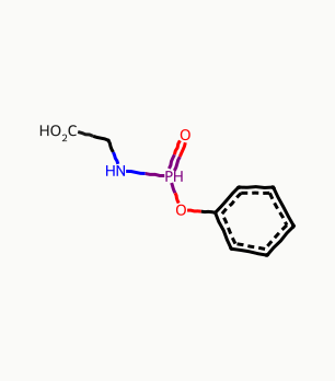 O=C(O)CN[PH](=O)Oc1ccccc1